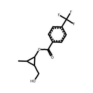 CC1C(CO)C1OC(=O)c1ccc(C(F)(F)F)cc1